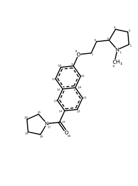 CN1CCCC1CCOc1ccc2cc(C(=O)N3CCCC3)ccc2c1